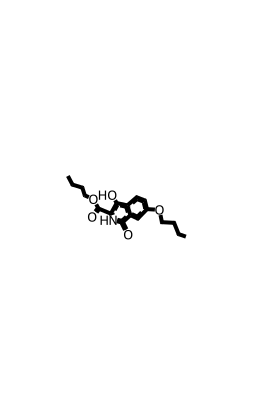 CCCCOC(=O)c1[nH]c(=O)c2cc(OCCCC)ccc2c1O